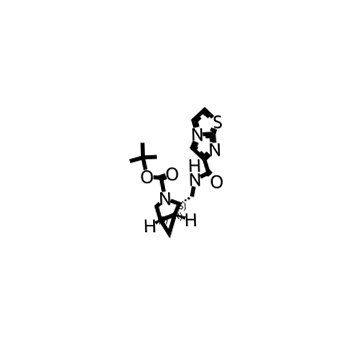 CC(C)(C)OC(=O)N1C[C@H]2C[C@H]2[C@H]1CNC(=O)c1cn2ccsc2n1